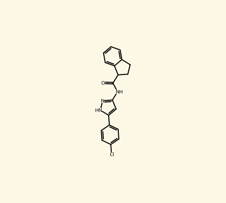 O=C(Nc1cc(-c2ccc(Cl)cc2)[nH]n1)C1CCc2ccccc21